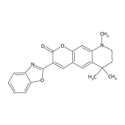 CN1CCC(C)(C)c2cc3cc(-c4nc5ccccc5o4)c(=O)oc3cc21